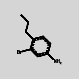 CCCc1ccc(N)cc1Br